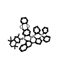 Cc1cc2c(cc1N1c3cc4c(cc3B3c5c(cc6ccccc6c51)-c1cccc5c1N3c1ccccc1S5(c1ccccc1)c1ccccc1)Oc1ccccc1O4)C(C)(C)CCC2(C)C